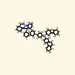 c1ccc(-c2c3c(-c4cccc(-c5ccc(N(c6ccc7c(ccc8ccccc87)c6)c6ccc7sc8ccccc8c7c6)cc5)c4)cccc3n3ccc4ccccc4c23)cc1